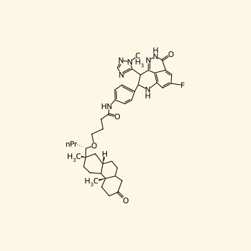 CCC[C@H](OCCCC(=O)Nc1ccc(C2Nc3cc(F)cc4c(=O)[nH]nc(c34)C2c2ncnn2C)cc1)[C@@]1(C)CCC2[C@@H](CCC3CC(=O)CC[C@@]32C)C1